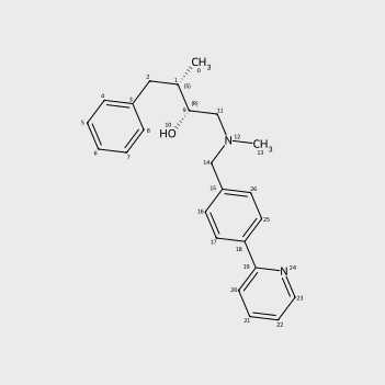 C[C@@H](Cc1ccccc1)[C@@H](O)CN(C)Cc1ccc(-c2ccccn2)cc1